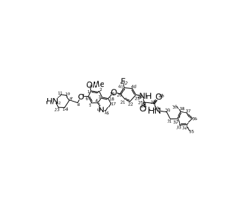 COc1cc2c(cc1OCC1CCNCC1)=NCCC=2Oc1ccc(NC(=O)C(=O)NCCc2cc(C)ccc2C)cc1F